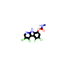 CNC(=O)Oc1cc(Cl)c(F)c2c1[nH]c1ncc(Br)c(Cl)c12